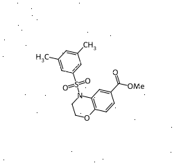 COC(=O)c1ccc2c(c1)N(S(=O)(=O)c1cc(C)cc(C)c1)CCO2